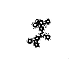 c1ccc(-c2nc(-c3ccc4c(c3)nc(-c3ccccc3)c3ccc5oc6ccccc6c5c34)cc(-c3ccc4c(c3)c3ccccc3n4-c3ccccc3)n2)cc1